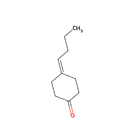 CCCC=C1CCC(=O)CC1